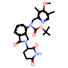 COc1c(C)cnc(CN(C(=O)OC(C)(C)C)c2cccc3c2CN(C2CCC(=O)NC2=O)C3=O)c1C